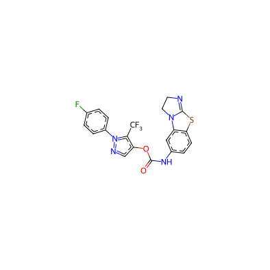 O=C(Nc1ccc2c(c1)N1CCN=C1S2)Oc1cnn(-c2ccc(F)cc2)c1C(F)(F)F